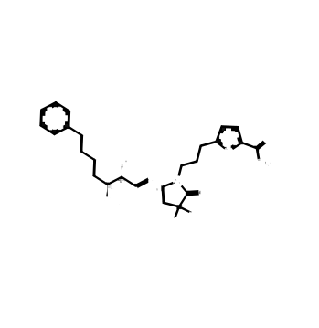 COC(=O)c1ccc(CCCN2C(=O)C(F)(F)C[C@@H]2C=C[C@H](O)[C@@H](C)CCCCc2ccccc2)s1